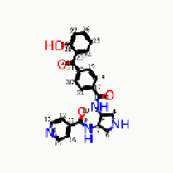 O=C(NC1CNC[C@H]1NC(=O)c1ccncc1)c1ccc(C(=O)c2ccccc2O)cc1